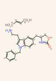 NCCc1cn(Cc2ccccc2)c2ccc(CC3COC(=O)N3)cc12.O=C(O)C=CC(=O)O